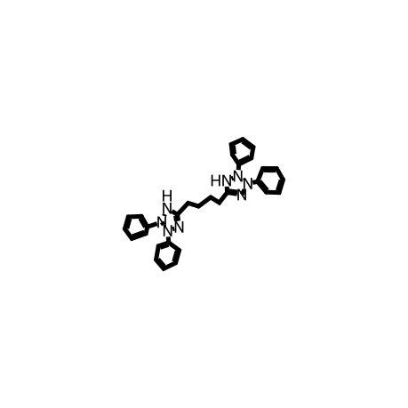 c1ccc(N2N=C(CCCCC3=NN(c4ccccc4)N(c4ccccc4)N3)NN2c2ccccc2)cc1